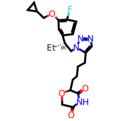 CC[C@@H](Cn1nncc1CCCCC1OCC(=O)NC1=O)c1ccc(F)c(OCC2CC2)c1